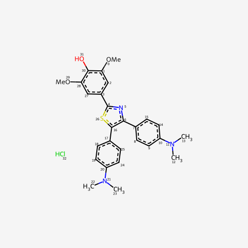 COc1cc(-c2nc(-c3ccc(N(C)C)cc3)c(-c3ccc(N(C)C)cc3)s2)cc(OC)c1O.Cl